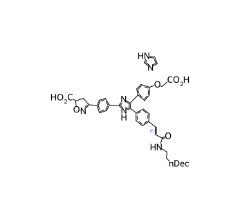 CCCCCCCCCCCCNC(=O)/C=C/c1ccc(-c2[nH]c(-c3ccc(C4=NOC(C(=O)O)C4)cc3)nc2-c2ccc(OCC(=O)O)cc2)cc1.c1c[nH]cn1